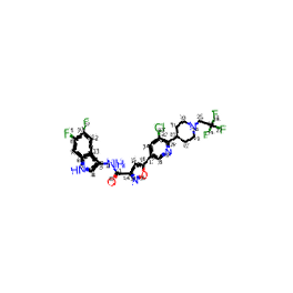 O=C(Nc1c[nH]c2cc(F)c(F)cc12)c1cc(-c2cnc(C3CCN(CC(F)(F)F)CC3)c(Cl)c2)on1